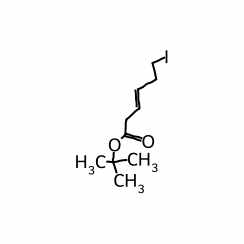 CC(C)(C)OC(=O)CC=CCCI